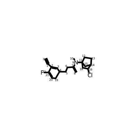 C#CC1=CC(CCC(=C)N(C)C23CCC(C2)C(Cl)C3)CC=C1F